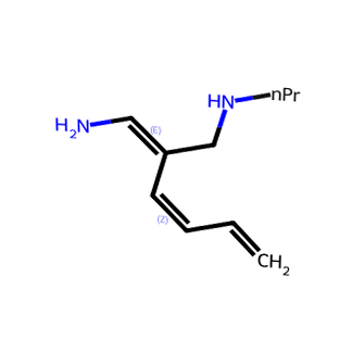 C=C/C=C\C(=C/N)CNCCC